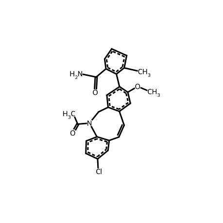 COc1cc2c(cc1-c1c(C)cccc1C(N)=O)CN(C(C)=O)c1ccc(Cl)cc1C=C2